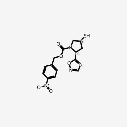 O=C(OCc1ccc([N+](=O)[O-])cc1)N1C[C@@H](S)C[C@H]1c1ncno1